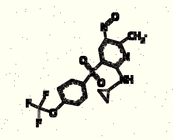 [CH2]c1nc(NC2CC2)c(S(=O)(=O)c2ccc(OC(F)(F)F)cc2)cc1N=O